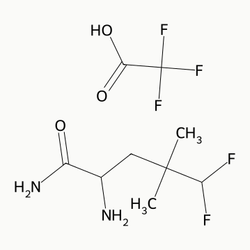 CC(C)(CC(N)C(N)=O)C(F)F.O=C(O)C(F)(F)F